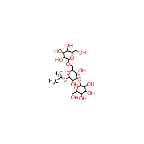 CC(C)OC1OC(COC2OC(CO)C(O)C(O)C2O)[C@H](O)C(OC2OC(CO)C(O)C(O)C2O)C1O